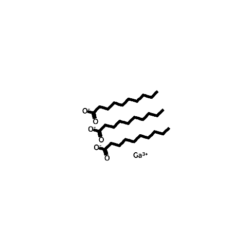 CCCCCCCCCC(=O)[O-].CCCCCCCCCC(=O)[O-].CCCCCCCCCC(=O)[O-].[Ga+3]